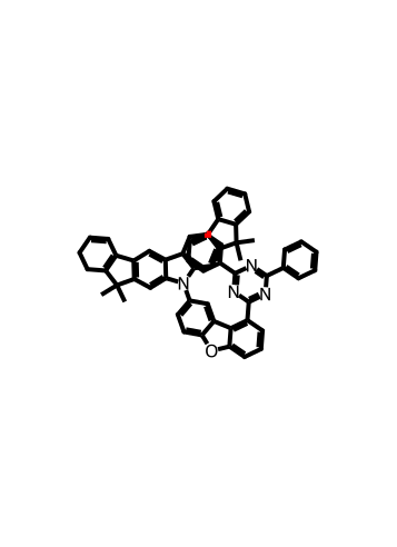 CC1(C)C2=C(C=CCC2)c2cc3c4cc5c(cc4n(-c4ccc6oc7cccc(-c8nc(-c9ccccc9)nc(-c9ccccc9)n8)c7c6c4)c3cc21)C(C)(C)c1ccccc1-5